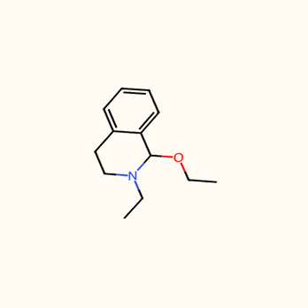 CCOC1c2ccccc2CCN1CC